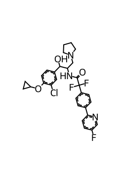 O=C(NC(CN1CCCC1)C(O)c1ccc(OC2CC2)c(Cl)c1)C(F)(F)c1ccc(-c2ccc(F)cn2)cc1